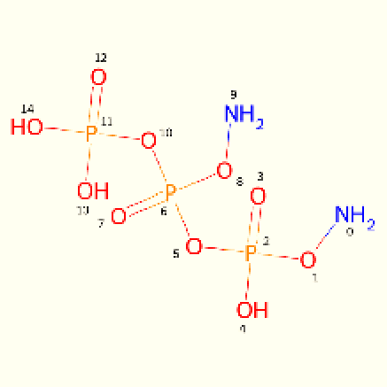 NOP(=O)(O)OP(=O)(ON)OP(=O)(O)O